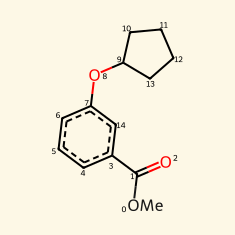 COC(=O)c1cccc(OC2CCCC2)c1